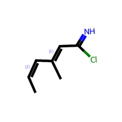 C/C=C\C(C)=C\C(=N)Cl